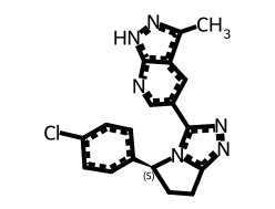 Cc1n[nH]c2ncc(-c3nnc4n3[C@H](c3ccc(Cl)cc3)CC4)cc12